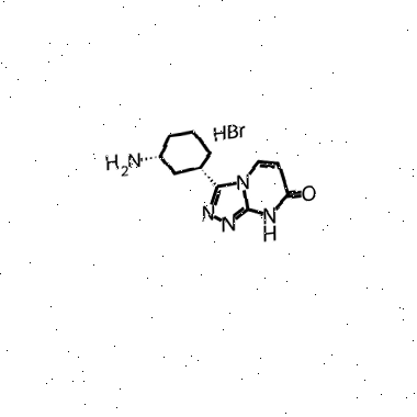 Br.N[C@@H]1CCC[C@H](c2nnc3[nH]c(=O)ccn23)C1